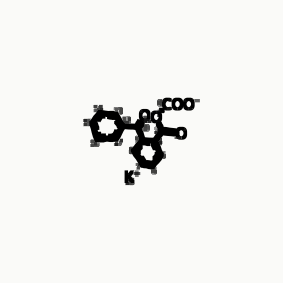 O=C([O-])OC(=O)c1ccccc1C(=O)c1ccccc1.[K+]